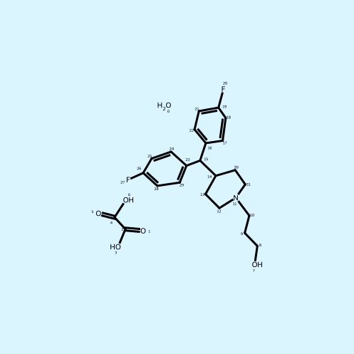 O.O=C(O)C(=O)O.OCCCN1CCC(C(c2ccc(F)cc2)c2ccc(F)cc2)CC1